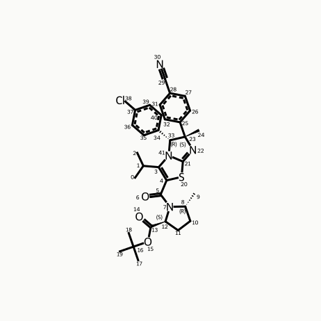 CC(C)C1=C(C(=O)N2[C@H](C)CC[C@H]2C(=O)OC(C)(C)C)SC2=N[C@@](C)(c3ccc(C#N)cc3)[C@@H](c3ccc(Cl)cc3)N21